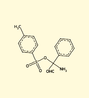 Cc1ccc(S(=O)(=O)OC(N)(C=O)c2ccccc2)cc1